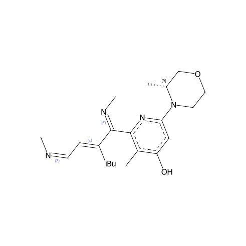 CCC(C)C(=C\C=N/C)/C(=N/C)c1nc(N2CCOC[C@H]2C)cc(O)c1C